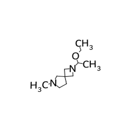 CCOC(C)N1CC2(CCN(C)C2)C1